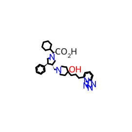 O=C(O)[C@@H](C1CCCCC1)N1C[C@H](CN2CCC(O)(CCCc3cccc4nnnn34)CC2)[C@@H](c2ccccc2)C1